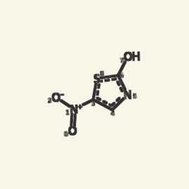 O=[N+]([O-])c1cnc(O)s1